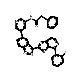 O=C(Cc1ccccc1)Nc1cncc(-c2ccc3[nH]nc(-c4nc5c(-c6ccccc6F)nccc5[nH]4)c3c2)c1